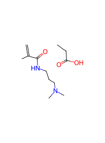 C=C(C)C(=O)NCCCN(C)C.CCC(=O)O